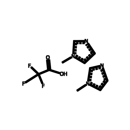 Cn1ccnc1.Cn1ccnc1.O=C(O)C(F)(F)F